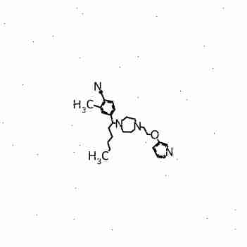 CCCCCC(c1ccc(C#N)c(C)c1)N1CCN(CCOc2cccnc2)CC1